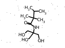 CC(C)C(C)(C)C(=O)NC(CO)(CO)CO